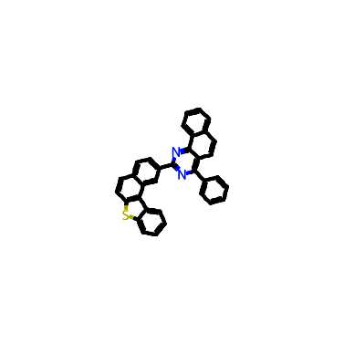 c1ccc(-c2nc(-c3ccc4ccc5sc6ccccc6c5c4c3)nc3c2ccc2ccccc23)cc1